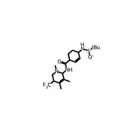 CC1=C(C)C(C(F)(F)F)CN(C)C1NC(=O)C1C=CC(N[S+]([O-])C(C)(C)C)CC1